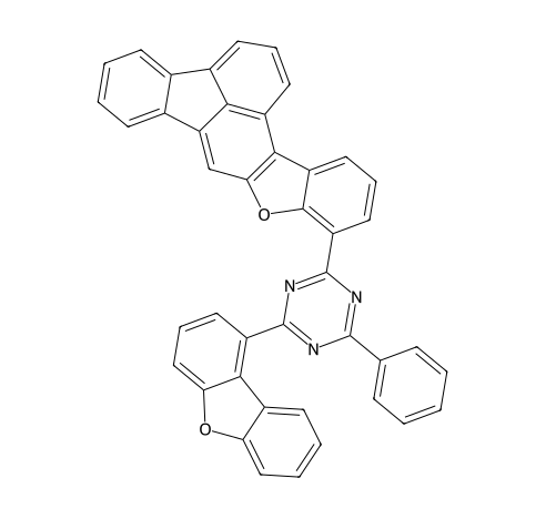 c1ccc(-c2nc(-c3cccc4c3oc3cc5c6c(cccc6c34)-c3ccccc3-5)nc(-c3cccc4oc5ccccc5c34)n2)cc1